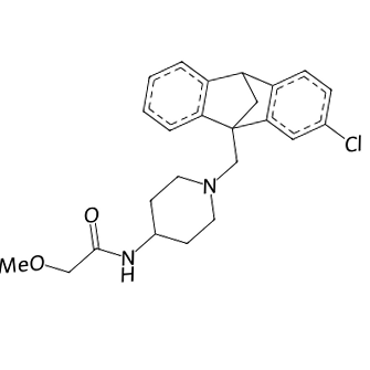 COCC(=O)NC1CCN(CC23CC(c4ccccc42)c2ccc(Cl)cc23)CC1